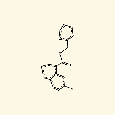 O=C(OCc1ccccc1)c1ccnc2ccc(F)cc12